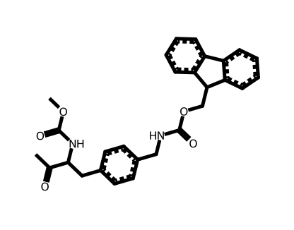 COC(=O)NC(Cc1ccc(CNC(=O)OCC2c3ccccc3-c3ccccc32)cc1)C(C)=O